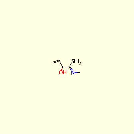 C=CC(O)C([SiH3])=NC